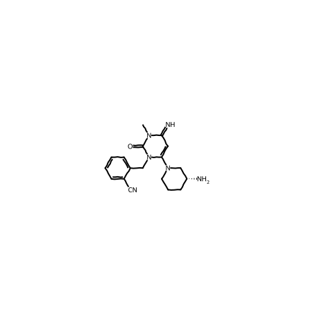 Cn1c(=N)cc(N2CCC[C@@H](N)C2)n(Cc2ccccc2C#N)c1=O